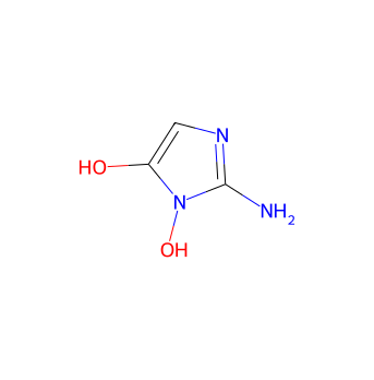 Nc1ncc(O)n1O